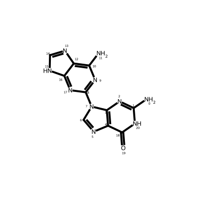 Nc1nc2c(ncn2-c2nc(N)c3nc[nH]c3n2)c(=O)[nH]1